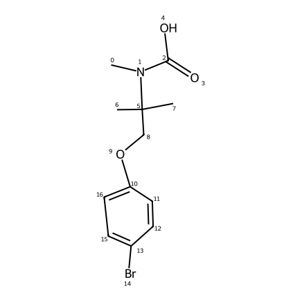 CN(C(=O)O)C(C)(C)COc1ccc(Br)cc1